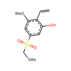 C=Cc1c(O)cc(S(=O)(=O)CSC)cc1OC